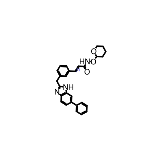 O=C(/C=C/c1cccc(Cc2nc3ccc(-c4ccccc4)cc3[nH]2)c1)NOC1CCCCO1